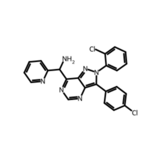 NC(c1ccccn1)c1ncnc2c(-c3ccc(Cl)cc3)n(-c3ccccc3Cl)nc12